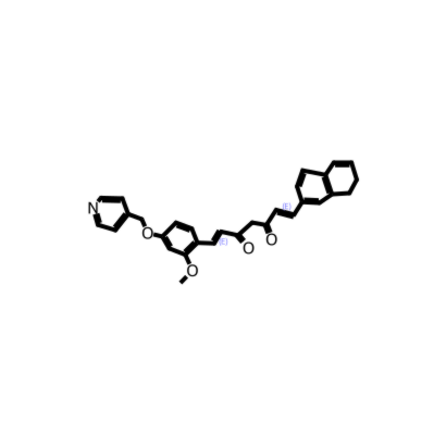 COc1cc(OCc2ccncc2)ccc1/C=C/C(=O)CC(=O)/C=C/c1ccc2c(c1)CCC=C2